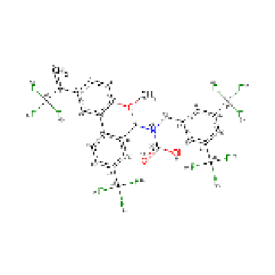 C=C(c1ccc(OC)c(-c2ccc(C(F)(F)F)cc2CN(Cc2cc(C(F)(F)F)cc(C(F)(F)F)c2)C(=O)O)c1)C(F)(F)F